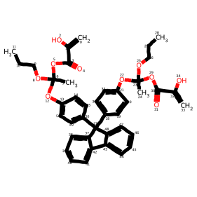 C=C(O)C(=O)OC(C)(OCCC)Oc1ccc(C2(c3ccc(OC(C)(OCCC)OC(=O)C(=C)O)cc3)c3ccccc3-c3ccccc32)cc1